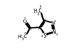 CC(=O)c1snnc1C